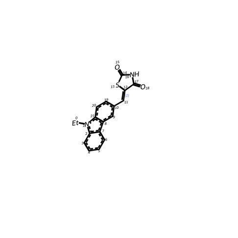 CCn1c2ccccc2c2cc(/C=C3\SC(=O)NC3=O)ccc21